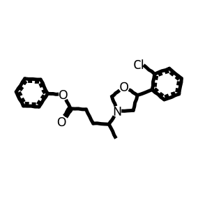 CC(CCC(=O)Oc1ccccc1)N1COC(c2ccccc2Cl)C1